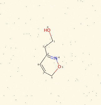 OCCC1=NOCC=C1